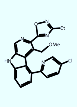 CCc1noc(-c2ncc3[nH]c4cccc(-c5ccc(Cl)cn5)c4c3c2COC)n1